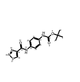 CC(C)(C)OC(=O)Nc1ccc(NC(=O)c2csnn2)cc1